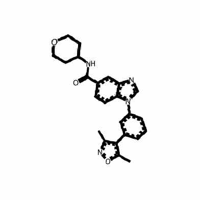 Cc1noc(C)c1-c1cccc(-n2cnc3cc(C(=O)NC4CCOCC4)ccc32)c1